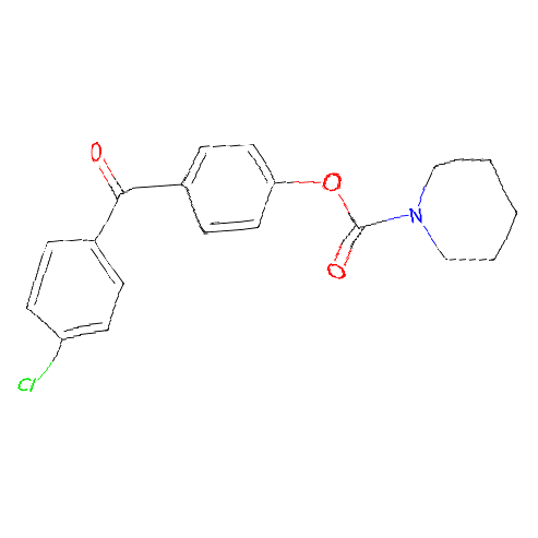 O=C(c1ccc(Cl)cc1)c1ccc(OC(=O)N2CCCCC2)cc1